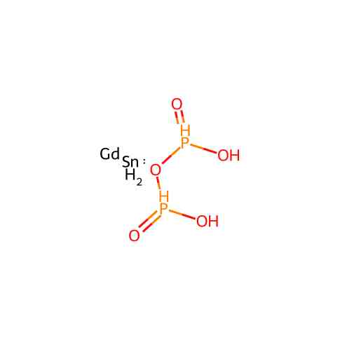 O=[PH](O)O[PH](=O)O.[Gd].[SnH2]